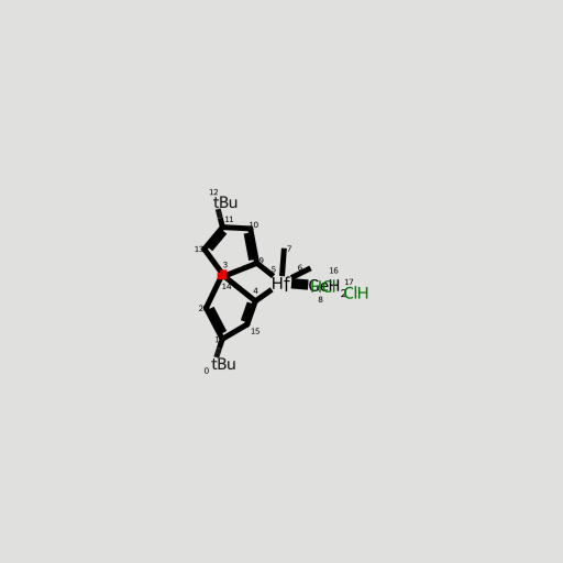 CC(C)(C)C1=CC[C]([Hf]([CH3])([CH3])(=[GeH2])[C]2=CC(C(C)(C)C)=CC2)=C1.Cl.Cl